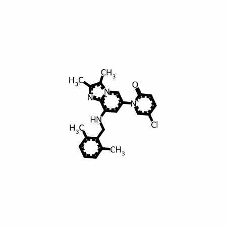 Cc1cccc(C)c1CNc1cc(-n2cc(Cl)ccc2=O)cn2c(C)c(C)nc12